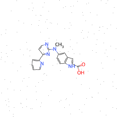 CN(c1ccc2[nH]c(C(=O)O)cc2c1)c1nccc(-c2ccccn2)n1